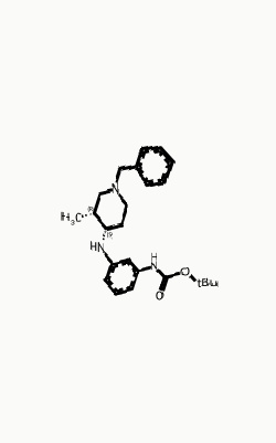 C[C@@H]1CN(Cc2ccccc2)CC[C@@H]1Nc1cccc(NC(=O)OC(C)(C)C)c1